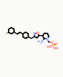 Nc1c(-c2cc(Cc3ccc(/C=C/c4cccc(F)c4)cc3)no2)ccc[n+]1COP(=O)(O)O